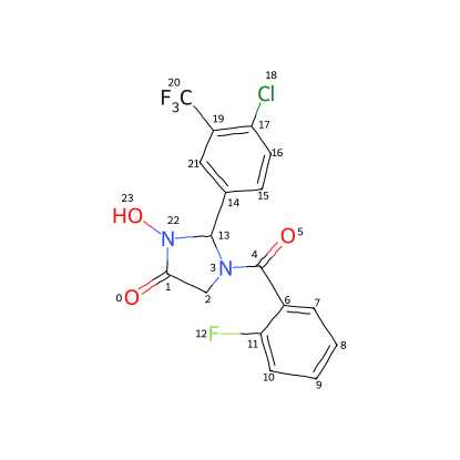 O=C1CN(C(=O)c2ccccc2F)C(c2ccc(Cl)c(C(F)(F)F)c2)N1O